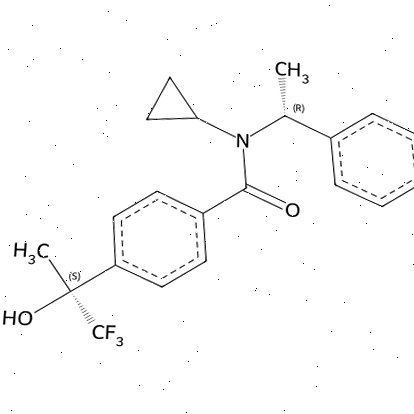 C[C@H](c1ccccc1)N(C(=O)c1ccc([C@](C)(O)C(F)(F)F)cc1)C1CC1